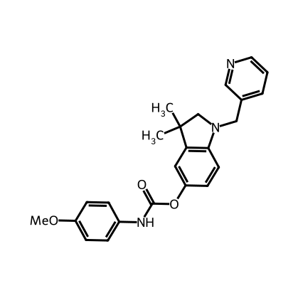 COc1ccc(NC(=O)Oc2ccc3c(c2)C(C)(C)CN3Cc2cccnc2)cc1